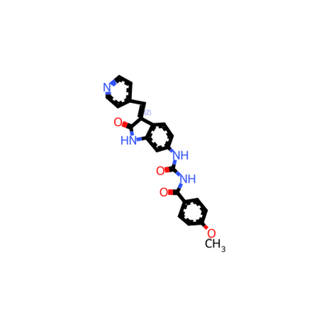 COc1ccc(C(=O)NC(=O)Nc2ccc3c(c2)NC(=O)/C3=C\c2ccncc2)cc1